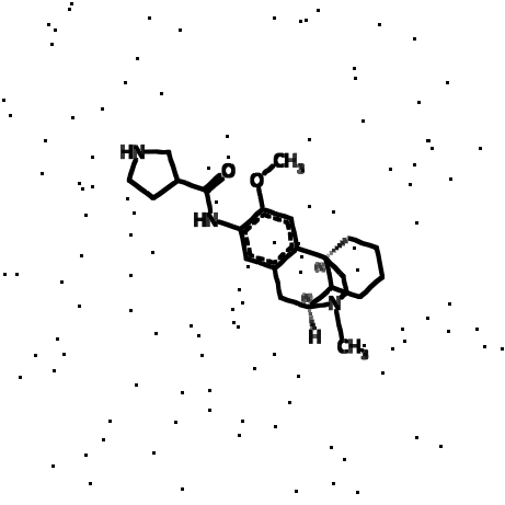 COc1cc2c(cc1NC(=O)C1CCNC1)C[C@H]1C3CCCC[C@@]23CCN1C